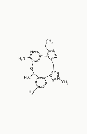 CCc1noc2c1-c1cnc(N)c(c1)O[C@H](C)c1cc(C)ccc1-c1nn(C)cc1C2